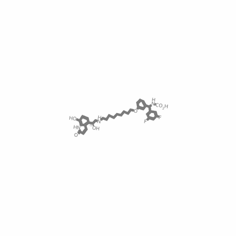 O=C(O)NC(c1cc(F)cc(F)c1)c1cccc(OCCCCCCCCCNC[C@@H](O)c2ccc(O)c3[nH]c(=O)ccc23)c1